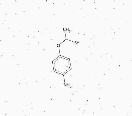 CC(S)Oc1ccc(N)cc1